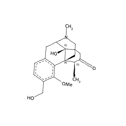 COc1c(CO)ccc2c1[C@]13CCN(C)C(C2)[C@]1(O)CCC(=O)[C@H]3C